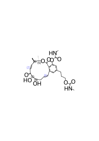 CNC(=O)OCCCc1cc2c(c(OC(=O)NC)c1)C(=O)O[C@@H](C)[C@H](C)/C=C\C(=O)[C@@H](O)[C@@H](O)C/C=C/2